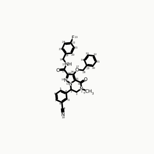 CN1CC(c2cccc(C#N)c2)n2nc(C(=O)NCc3ccc(F)cc3)c(OCc3ccccc3)c2C1=O